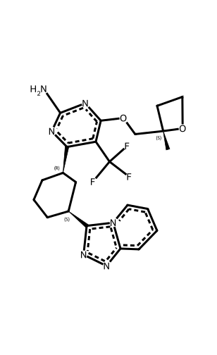 C[C@@]1(COc2nc(N)nc([C@@H]3CCC[C@H](c4nnc5ccccn45)C3)c2C(F)(F)F)CCO1